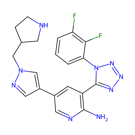 Nc1ncc(-c2cnn(CC3CCNC3)c2)cc1-c1nnnn1-c1cccc(F)c1F